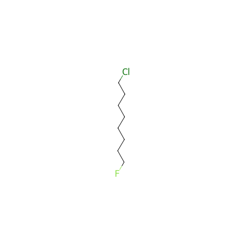 FCCCCCCCCCl